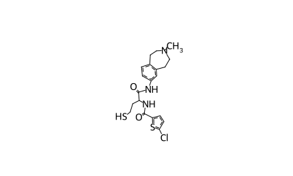 CN1CCc2ccc(NC(=O)C(CCS)NC(=O)c3ccc(Cl)s3)cc2CC1